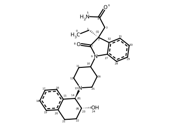 CC[C@@]1(CC(N)=O)C(=O)N(C2CCN([C@@H]3c4ccccc4CC[C@H]3O)CC2)c2ccccc21